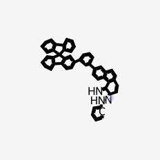 N=C1/C(=N\Nc2ccccc2)C=Cc2ccc3cc(-c4cccc(-c5ccc6c(c5)C5(c7ccccc7-c7ccccc75)c5ccccc5-6)c4)ccc3c21